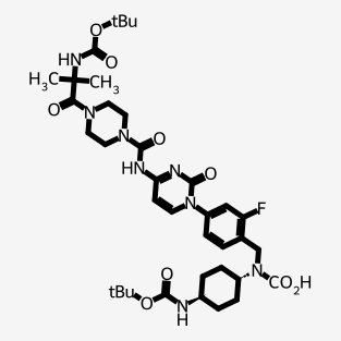 CC(C)(C)OC(=O)NC(C)(C)C(=O)N1CCN(C(=O)Nc2ccn(-c3ccc(CN(C(=O)O)[C@H]4CC[C@H](NC(=O)OC(C)(C)C)CC4)c(F)c3)c(=O)n2)CC1